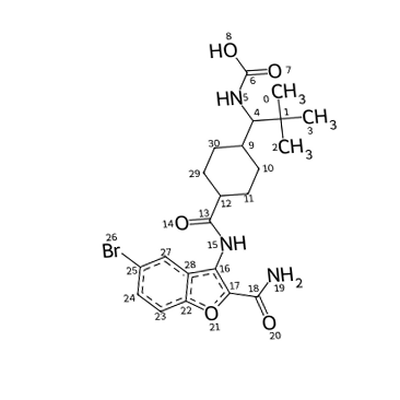 CC(C)(C)C(NC(=O)O)C1CCC(C(=O)Nc2c(C(N)=O)oc3ccc(Br)cc23)CC1